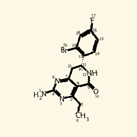 CCc1nc(N)nc2c1C(=O)N[C@@H](c1ccc(F)cc1Br)C2